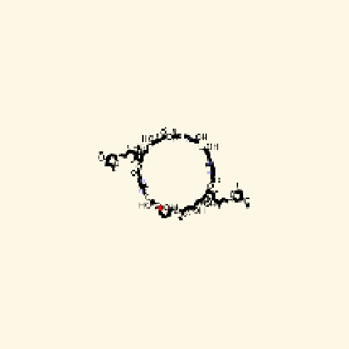 CO[C@@H]1C[C@H](CC[C@H](C)[C@H](O)[C@H](C)[C@H]2OC(=O)/C=C/C(C)=C/C[C@H](O)C[C@H]3C=CC[C@@H](C[C@H](OC)[C@@H](C)[C@@H](O)C[C@@H](O)[C@H](C)[C@@H]([C@@H](C)[C@@H](O)[C@@H](C)CC[C@H]4C[C@@H](OC)C[C@H](C)O4)OC(=O)/C=C/C(C)=C/C[C@H](O)C[C@H](O)/C=C\C[C@H](C)C[C@H](OC)[C@@H](C)[C@@H](O)C[C@@H](O)[C@@H]2C)O3)O[C@@H](C)C1